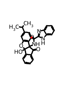 CC(C)c1ccc2c(c1)OC1(O)c3ccccc3C(=O)C21NC(=O)c1nc2ccccc2[nH]1